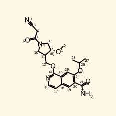 CO[C@H]1CN(C(=O)CC#N)CC1COc1nccc2cc(C(N)=O)c(OC(C)C)cc12